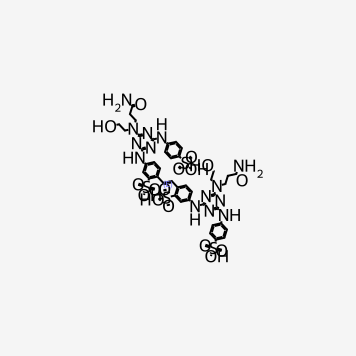 NC(=O)CCN(CCO)c1nc(Nc2ccc(S(=O)(=O)O)cc2)nc(Nc2ccc(/C=C/c3ccc(Nc4nc(Nc5ccc(S(=O)(=O)O)cc5)nc(N(CCO)CCC(N)=O)n4)cc3S(=O)(=O)O)c(S(=O)(=O)O)c2)n1